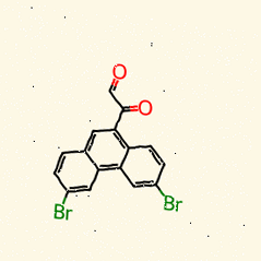 O=CC(=O)c1cc2ccc(Br)cc2c2cc(Br)ccc12